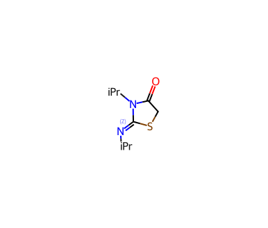 CC(C)/N=C1\SCC(=O)N1C(C)C